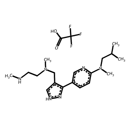 CNCCN(C)Cc1c[nH]nc1-c1ccc(N(C)CC(C)C)nc1.O=C(O)C(F)(F)F